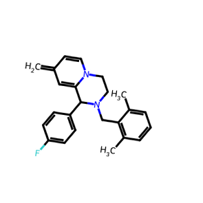 C=C1C=CN2CCN(Cc3c(C)cccc3C)C(c3ccc(F)cc3)C2=C1